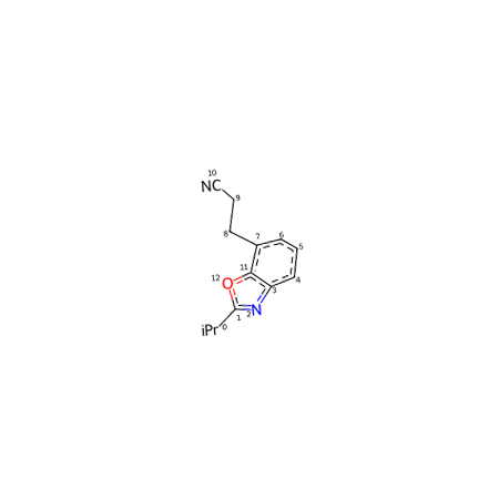 CC(C)c1nc2cccc(CCC#N)c2o1